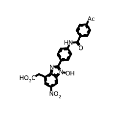 CC(=O)c1ccc(C(=O)Nc2ccc(-c3nc4c(CC(=O)O)cc([N+](=O)[O-])cc4n3O)cc2)cc1